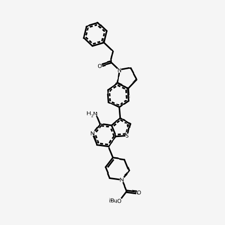 CC(C)COC(=O)N1CC=C(c2cnc(N)c3c(-c4ccc5c(c4)CCN5C(=O)Cc4ccccc4)csc23)CC1